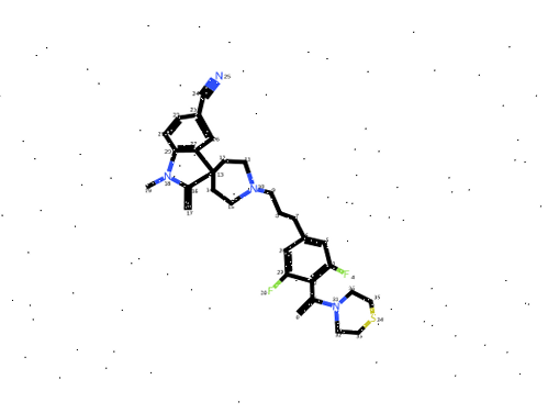 C=C(c1c(F)cc(CCCN2CCC3(CC2)C(=C)N(C)c2ccc(C#N)cc23)cc1F)N1CCSCC1